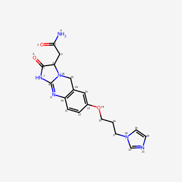 NC(=O)CC1C(=O)NC2=Nc3ccc(OCCCn4ccnc4)cc3CN21